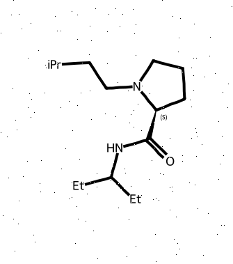 CCC(CC)NC(=O)[C@@H]1CCCN1CCC(C)C